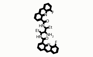 CCC(NC(=O)c1cccc2cc3cccc(F)c3nc12)C(N)C(CC)NC(=O)c1cccc2cc3cccc(F)c3nc12